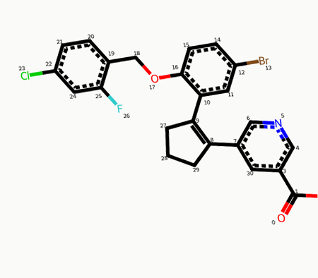 O=C(O)c1cncc(C2=C(c3cc(Br)ccc3OCc3ccc(Cl)cc3F)CCC2)c1